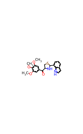 COc1cc(C(=O)C2CSC(c3cccc4cc[nH]c34)N2)cc(OC)c1OC